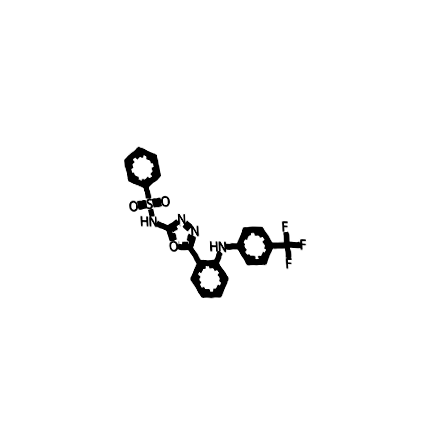 O=S(=O)(Nc1nnc(-c2ccccc2Nc2ccc(C(F)(F)F)cc2)o1)c1ccccc1